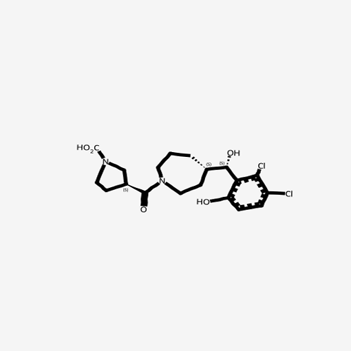 O=C(O)N1CC[C@H](C(=O)N2CCC[C@H]([C@H](O)c3c(O)ccc(Cl)c3Cl)CC2)C1